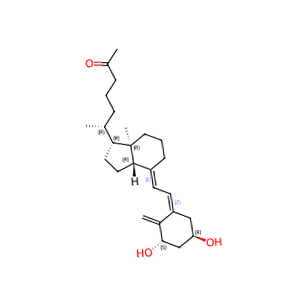 C=C1/C(=C\C=C2/CCC[C@]3(C)[C@@H]([C@H](C)CCCC(C)=O)CC[C@@H]23)C[C@@H](O)C[C@@H]1O